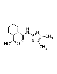 Cc1nc(NC(=O)C2=CCCCC2C(=O)O)sc1C